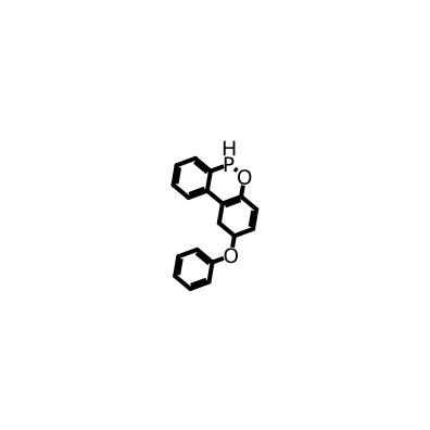 C1=CC(Oc2ccccc2)CC2=C1OPc1ccccc12